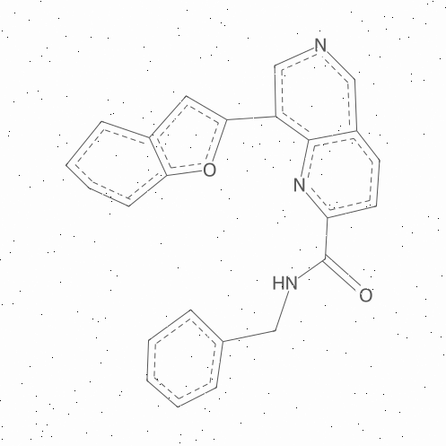 O=C(NCc1ccccc1)c1ccc2cncc(-c3cc4ccccc4o3)c2n1